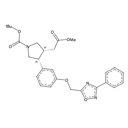 COC(=O)C[C@H]1CN(C(=O)OC(C)(C)C)C[C@H]1c1cccc(OCc2nc(-c3ccccc3)no2)c1